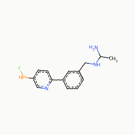 CC(N)NCc1cccc(-c2ccc(PF)cn2)c1